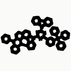 c1ccc(N2c3ccccc3B3c4c2ccc2ccc5c(c42)c2c3cccc2n5-c2nc(-c3cccc([Si](c4ccccc4)(c4ccccc4)c4ccccc4)c3)nc(-n3c4ccccc4c4ccccc43)n2)cc1